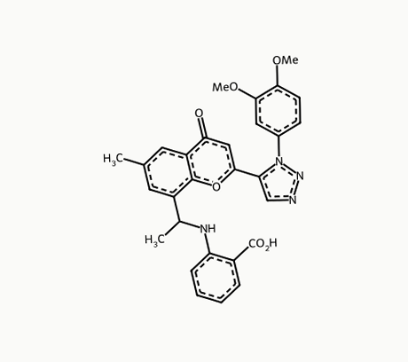 COc1ccc(-n2nncc2-c2cc(=O)c3cc(C)cc(C(C)Nc4ccccc4C(=O)O)c3o2)cc1OC